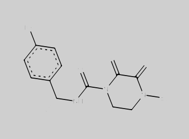 CCN1CCN(C(=O)N[C@H](C)c2ccc(O)cc2)C(=O)C1=O